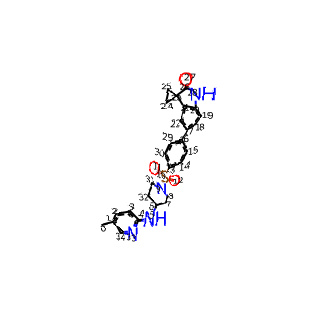 Cc1ccc(NC2CCN(S(=O)(=O)c3ccc(-c4ccc5c(c4)C4(CC4)C(=O)N5)cc3)CC2)nc1